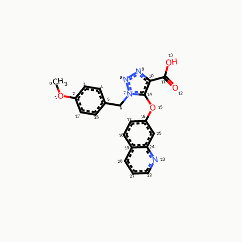 COc1ccc(Cn2nnc(C(=O)O)c2Oc2ccc3cccnc3c2)cc1